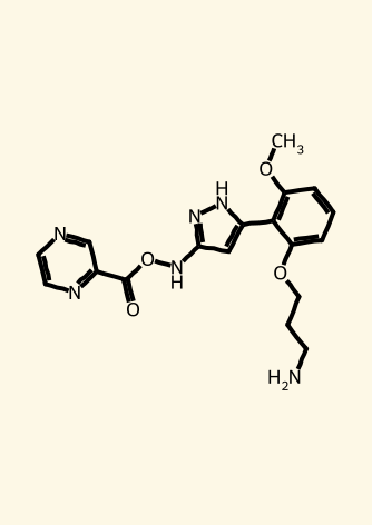 COc1cccc(OCCCN)c1-c1cc(NOC(=O)c2cnccn2)n[nH]1